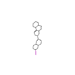 IC1CCC2CC(C3CC=C4C(CCC5CCCCC45)C3)CCC2C1